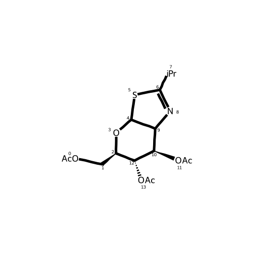 CC(=O)OC[C@H]1OC2SC(C(C)C)=NC2[C@@H](OC(C)=O)[C@@H]1OC(C)=O